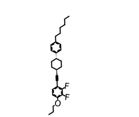 CCCCCCc1ccc([C@H]2CC[C@H](C#Cc3ccc(OCCC)c(F)c3F)CC2)cc1